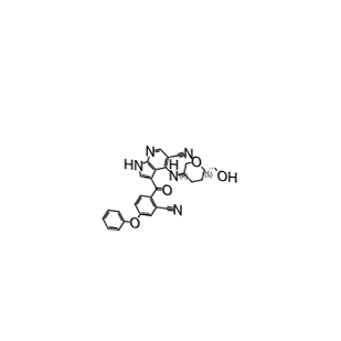 N#Cc1cc(Oc2ccccc2)ccc1C(=O)c1c[nH]c2ncc(C#N)c(N[C@@H]3CC[C@@H](CO)OC3)c12